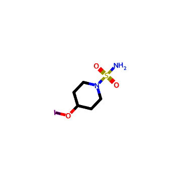 NS(=O)(=O)N1CCC(OI)CC1